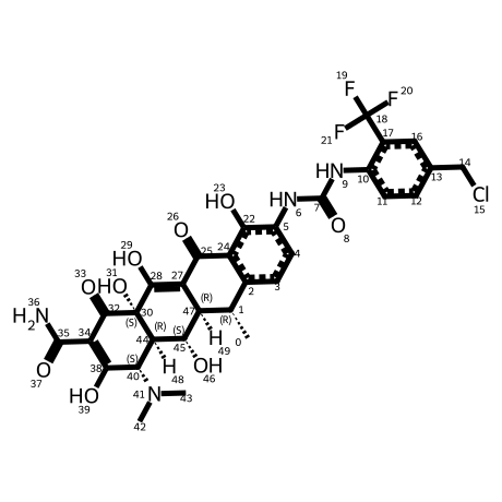 C[C@H]1c2ccc(NC(=O)Nc3ccc(CCl)cc3C(F)(F)F)c(O)c2C(=O)C2=C(O)[C@]3(O)C(=O)C(C(N)=O)=C(O)[C@@H](N(C)C)[C@@H]3[C@@H](O)[C@@H]21